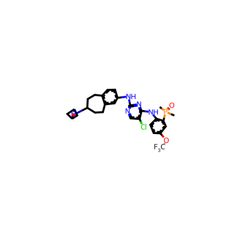 CP(C)(=O)c1cc(OC(F)(F)F)ccc1Nc1nc(Nc2ccc3c(c2)CCC(N2CC4CC2C4)CC3)ncc1Cl